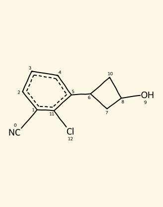 N#Cc1cccc(C2CC(O)C2)c1Cl